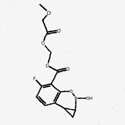 COCC(=O)OCOC(=O)c1c(F)ccc2c1OB(O)C1CC21